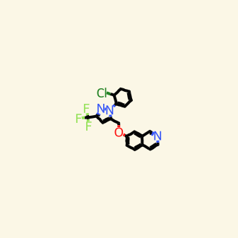 FC(F)(F)c1cc(COc2ccc3ccncc3c2)n(C2=CC=CCC2Cl)n1